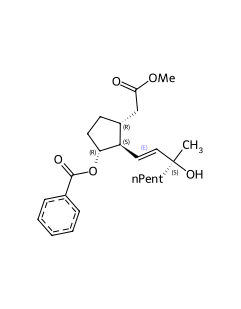 CCCCC[C@](C)(O)/C=C/[C@@H]1[C@@H](CC(=O)OC)CC[C@H]1OC(=O)c1ccccc1